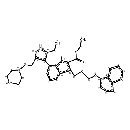 CCOC(=O)c1[nH]c2c(-c3c(CCN4CCOCC4)n[nH]c3CO)cccc2c1CCCOc1cccc2ccccc12